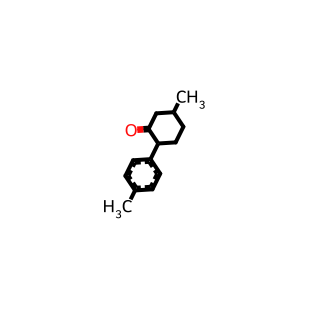 Cc1ccc(C2CCC(C)CC2=O)cc1